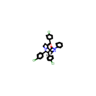 CC1=NN(c2ccccc2)C(=O)C12C(c1ccc(Cl)cc1)C(c1ccc(Cl)cc1)N1CC/C(=C\c3ccc(Cl)cc3)C12